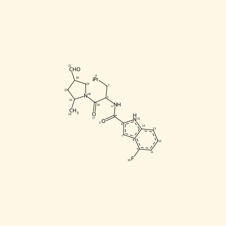 CC(C)CC(NC(=O)c1cc2c(F)cccc2[nH]1)C(=O)N1CC(C=O)CC1C